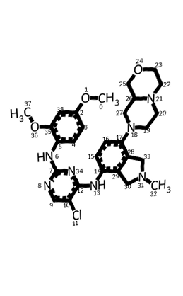 COc1ccc(Nc2ncc(Cl)c(Nc3ccc(N4CCN5CCOCC5C4)c4c3CN(C)C4)n2)c(OC)c1